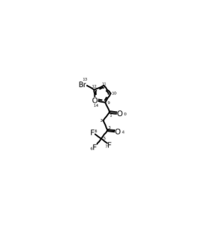 O=C(CC(=O)C(F)(F)F)c1ccc(Br)o1